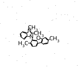 Cc1ccc2c(c1)oc1c(N3c4ccccc4N(C)[C@@H]3C)c(C)ccc12